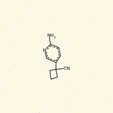 N#CC1(c2ccc(N)nc2)CCC1